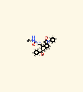 CCCNC(=O)NCCC1=c2c(ccc3c2=CC(=O)N3c2ccccc2)CC(C(=O)c2ccccc2)C1